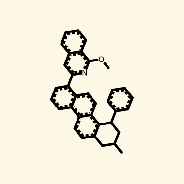 COc1nc(-c2cccc3c2ccc2c4c(ccc23)CC(C)CC4c2ccccc2)cc2ccccc12